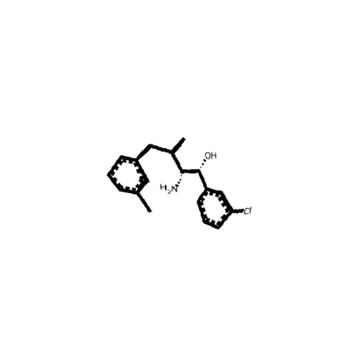 Cc1cccc(CC(C)[C@@H](N)[C@H](O)c2cccc(Cl)c2)c1